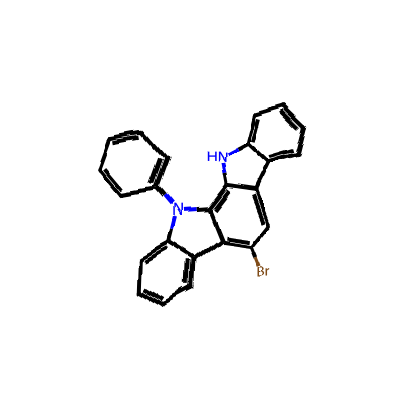 Brc1cc2c3ccccc3[nH]c2c2c1c1ccccc1n2-c1ccccc1